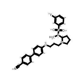 CN(C1CCCN1CCCOc1ccc(-c2ccc(C#N)cc2)cc1)S(=O)(=O)c1cccc(F)c1